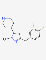 Cn1nc(Cc2ccc(F)c(F)c2)cc1C1CCNCC1